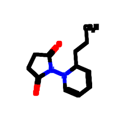 O=C(O)CCC1C=CC=CN1N1C(=O)CCC1=O